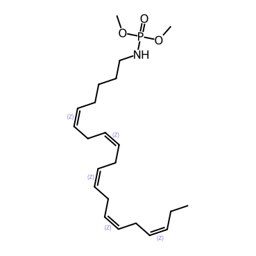 CC/C=C\C/C=C\C/C=C\C/C=C\C/C=C\CCCCNP(=O)(OC)OC